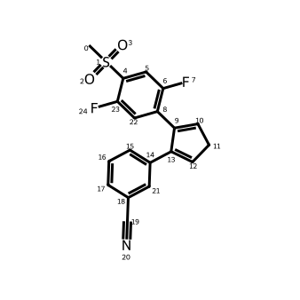 CS(=O)(=O)c1cc(F)c(C2=CCC=C2c2cccc(C#N)c2)cc1F